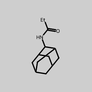 CCC(=O)NC1C2CC3CC(C2)CC1C3